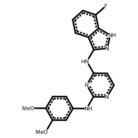 COc1ccc(Nc2nccc(Nc3n[nH]c4c(F)cccc34)n2)cc1OC